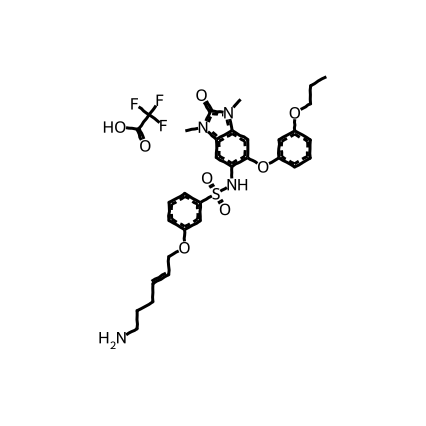 CCCOc1cccc(Oc2cc3c(cc2NS(=O)(=O)c2cccc(OCC=CCCCN)c2)n(C)c(=O)n3C)c1.O=C(O)C(F)(F)F